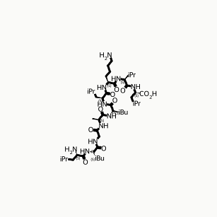 CC[C@H](C)[C@H](NC(=O)[C@H](C)NC(=O)CNC(=O)[C@@H](NC(=O)[C@@H](N)CC(C)C)[C@@H](C)CC)C(=O)N[C@@H](CC(C)C)C(=O)N[C@@H](CCCCN)C(=O)N[C@H](C(=O)N[C@@H](CC(C)C)C(=O)O)C(C)C